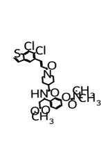 COC(=O)CC(NC(=O)C1CCN(C(=O)C=Cc2cc3ccsc3c(Cl)c2Cl)CC1)c1cccc(OC(=O)N(C)C)c1